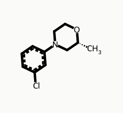 C[C@@H]1CN(c2cccc(Cl)c2)CCO1